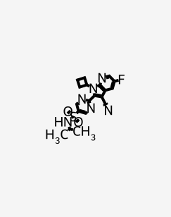 CC(C)NS(=O)(=O)c1cnc(-c2c(C#N)c3cc(F)cnc3n2C2CCC2)nc1